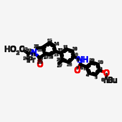 CCCCOc1ccc(C(=O)Nc2ccc(-c3ccc4c(c3)C(=O)N(C(C(=O)O)C(C)C)C4)c(C)c2)cc1